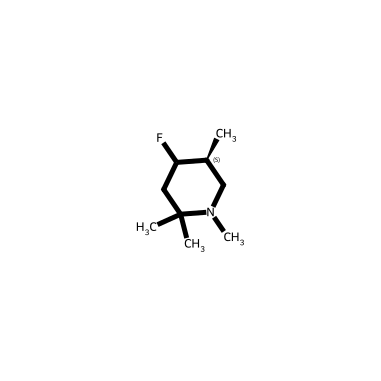 C[C@H]1CN(C)C(C)(C)CC1F